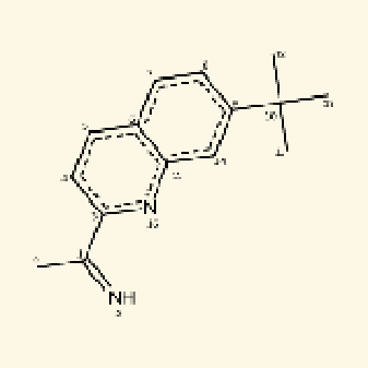 CC(=N)c1ccc2ccc(C(C)(C)C)cc2n1